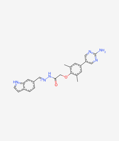 Cc1cc(-c2cnc(N)nc2)cc(C)c1OCC(=O)N/N=C/c1ccc2cc[nH]c2c1